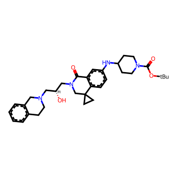 CC(C)(C)OC(=O)N1CCC(Nc2ccc3c(c2)C(=O)N(C[C@H](O)CN2CCc4ccccc4C2)CC32CC2)CC1